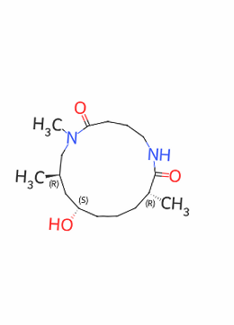 C[C@@H]1C[C@@H](O)CCC[C@@H](C)C(=O)NCCCC(=O)N(C)C1